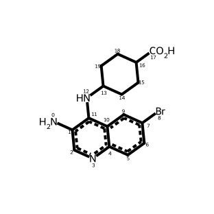 Nc1cnc2ccc(Br)cc2c1NC1CCC(C(=O)O)CC1